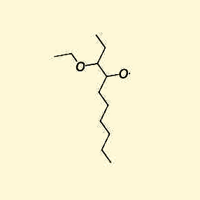 CCCCCCC([O])C(CC)OCC